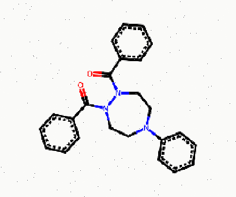 O=C(c1ccccc1)N1CCN(c2ccccc2)CCN1C(=O)c1ccccc1